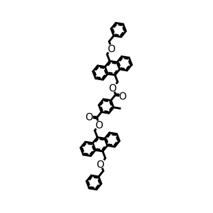 Cc1cc(C(=O)OCc2c3ccccc3c(COCc3ccccc3)c3ccccc23)ccc1C(=O)OCc1c2ccccc2c(COCc2ccccc2)c2ccccc12